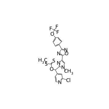 CSC(=S)OC(c1ccnc(Cl)c1)c1nc(-c2nc(-c3ccc(OC(F)(F)F)cc3)no2)cn1C